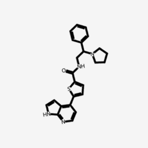 O=C(NCC(c1ccccc1)N1CCCC1)c1ccc(-c2ccnc3[nH]ccc23)s1